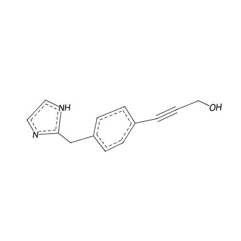 OCC#Cc1ccc(Cc2ncc[nH]2)cc1